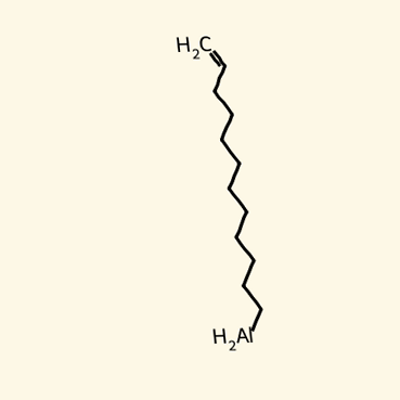 C=CCCCCCCCCC[CH2][AlH2]